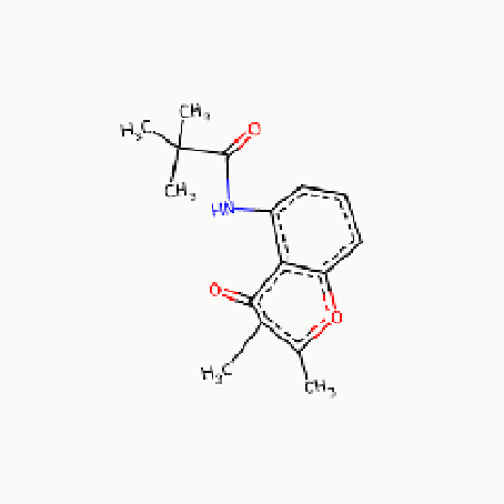 Cc1oc2cccc(NC(=O)C(C)(C)C)c2c(=O)c1C